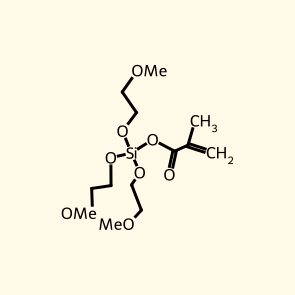 C=C(C)C(=O)O[Si](OCCOC)(OCCOC)OCCOC